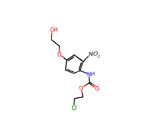 O=C(Nc1ccc(OCCO)cc1[N+](=O)[O-])OCCCl